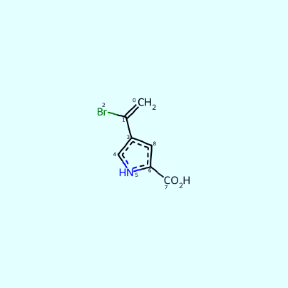 C=C(Br)c1c[nH]c(C(=O)O)c1